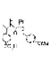 COc1ccc(COC(C(=O)NC(C)c2ccc(C(=O)O)cc2)C(C)C)cc1